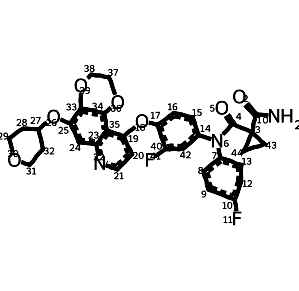 NC(=O)C1(C(=O)N(c2ccc(F)cc2)c2ccc(Oc3ccnc4cc(OC5CCOCC5)c5c(c34)OCCO5)c(F)c2)CC1